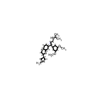 COc1cc(OC)cc(/C(=C\CNC(C)C)c2ccc3ncc(-c4cnn(C)c4)nc3c2)c1